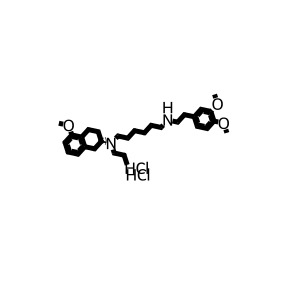 CCCN(CCCCCCNCCc1ccc(OC)c(OC)c1)[C@H]1CCc2c(cccc2OC)C1.Cl.Cl